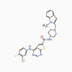 Cn1c(CN2CCC(NC(=O)c3cc4c(Nc5ccc(F)c(Cl)c5)ncnc4s3)CC2)cc2ccccc21